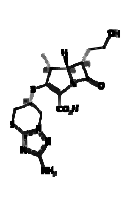 C[C@H]1C(S[C@H]2CSc3nc(N)nn3C2)=C(C(=O)O)N2C(=O)[C@@H](CCO)[C@@H]12